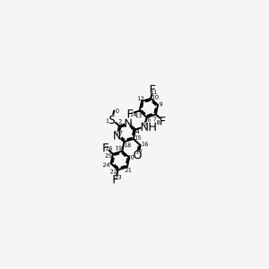 CSc1nc(Nc2c(F)cc(F)cc2F)c(C=O)c(-c2ccc(F)cc2F)n1